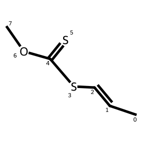 CC=CSC(=S)OC